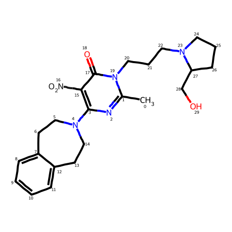 Cc1nc(N2CCc3ccccc3CC2)c([N+](=O)[O-])c(=O)n1CCCN1CCCC1CO